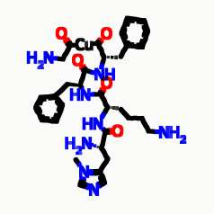 Cn1cncc1C[C@H](N)C(=O)N[C@@H](CCCCN)C(=O)N[C@@H](Cc1ccccc1)C(=O)N[C@@H](Cc1ccccc1)[C](=O)[Cu][C](=O)CN